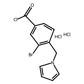 Cl.Cl.O=C(Cl)c1ccc(Cn2cccc2)c(Br)c1